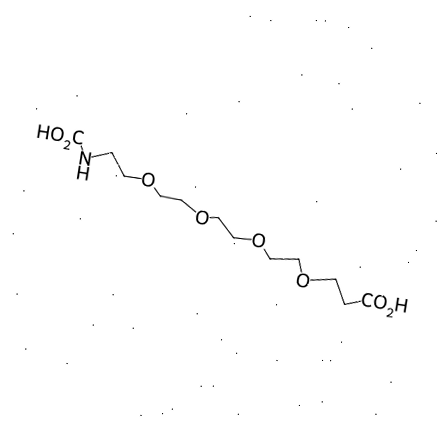 O=C(O)CCOCCOCCOCCOCCNC(=O)O